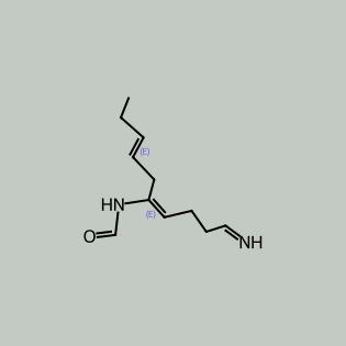 CC/C=C/C/C(=C\CCC=N)NC=O